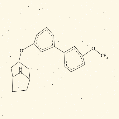 FC(F)(F)Oc1cccc(-c2cccc(OC3CC4CCC(C3)N4)c2)c1